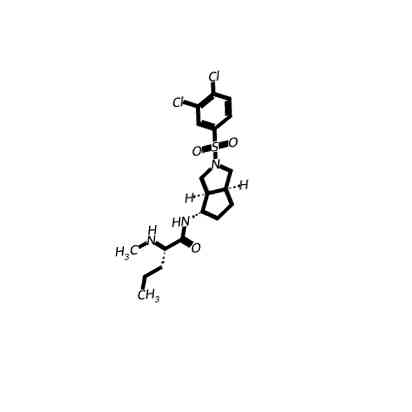 CCC[C@H](NC)C(=O)N[C@H]1CC[C@@H]2CN(S(=O)(=O)c3ccc(Cl)c(Cl)c3)C[C@@H]21